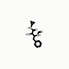 O=CNC(Cc1ccccc1)C(O)C(=O)NC1CC1